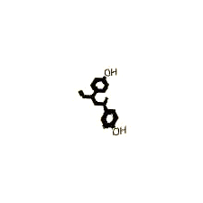 CCC(CC(C)c1ccc(O)cc1)c1ccc(O)cc1